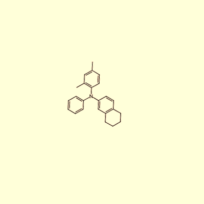 Cc1ccc(N(c2ccccc2)c2ccc3c(c2)CCCC3)c(C)c1